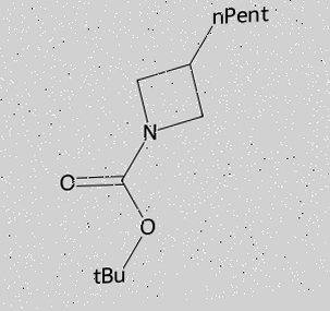 CCCCCC1CN(C(=O)OC(C)(C)C)C1